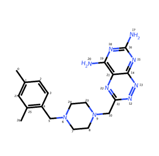 Cc1ccc(CN2CCN(Cc3nnc4nc(N)nc(N)c4n3)CC2)c(C)c1